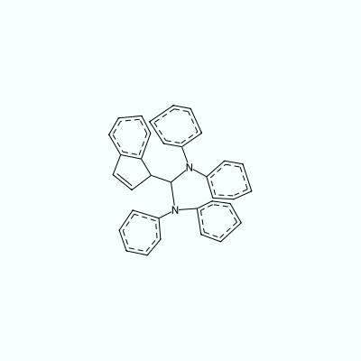 C1=CC(C(N(c2ccccc2)c2ccccc2)N(c2ccccc2)c2ccccc2)c2ccccc21